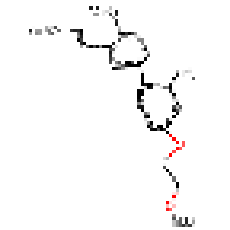 CCCCOCCOc1ccc(-c2ccc(OC)c(/C=C/C=O)c2)c(C)c1